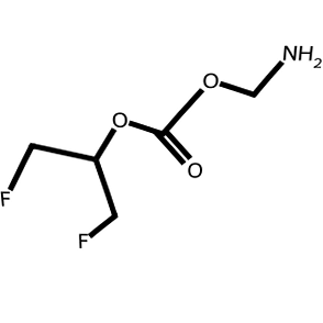 NCOC(=O)OC(CF)CF